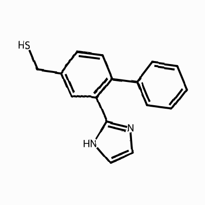 SCc1ccc(-c2ccccc2)c(-c2ncc[nH]2)c1